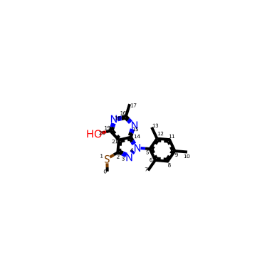 CSc1nn(-c2c(C)cc(C)cc2C)c2nc(C)nc(O)c12